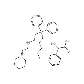 CCCCOC(CCNCC=C1CCCCC1)(c1ccccc1)c1ccccc1.O=C(O)C(O)c1ccccc1